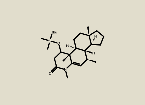 C[C@H]1C=C2N(C)C(=O)CC(O[Si](C)(C)C(C)(C)C)[C@]2(C)[C@H]2CC[C@]3(C)CCC[C@H]3[C@H]12